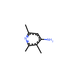 Cc1cc(N)c(C)c(C)n1